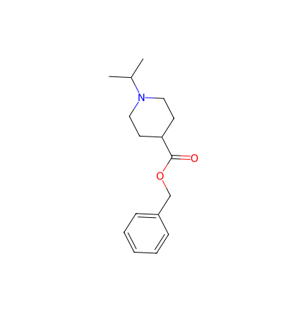 CC(C)N1CCC(C(=O)OCc2ccccc2)CC1